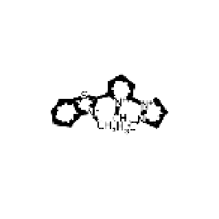 Cn1ccc[n+]1-c1cccc(-c2sc3ccccc3[n+]2C)[n+]1C